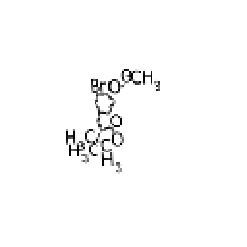 COCOc1cc2oc(=O)c(C(C)(C)C)cc2cc1Br